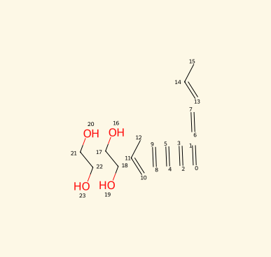 C=C.C=C.C=C.C=C.C=C.C=CC.C=CC.OCCO.OCCO